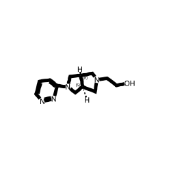 OCCN1C[C@@H]2CN(c3cccnn3)C[C@@H]2C1